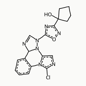 OC1(c2noc(N3C=NC4c5ccccc5-n5c(cnc5Cl)N43)n2)CCCC1